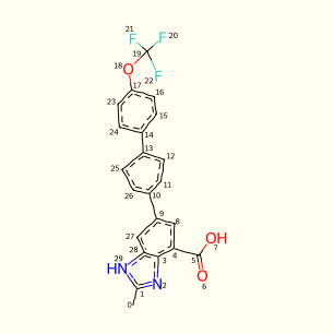 Cc1nc2c(C(=O)O)cc(-c3ccc(-c4ccc(OC(F)(F)F)cc4)cc3)cc2[nH]1